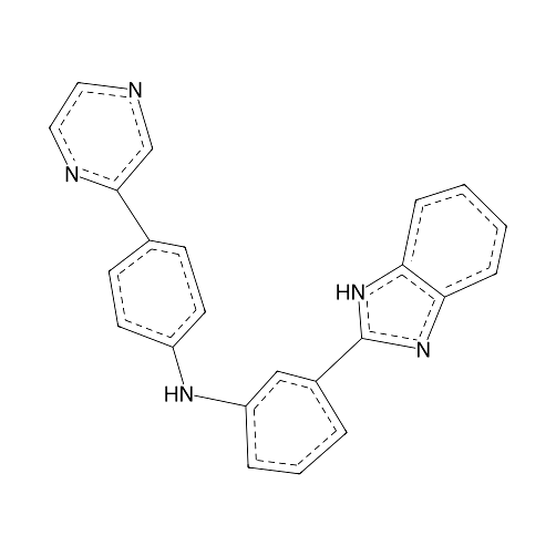 c1cc(Nc2ccc(-c3cnccn3)cc2)cc(-c2nc3ccccc3[nH]2)c1